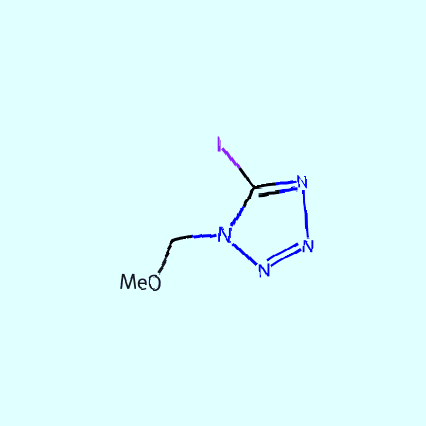 COCn1nnnc1I